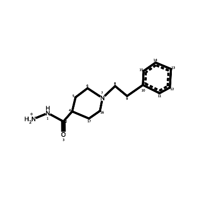 NNC(=O)C1CCN(CCc2ccccc2)CC1